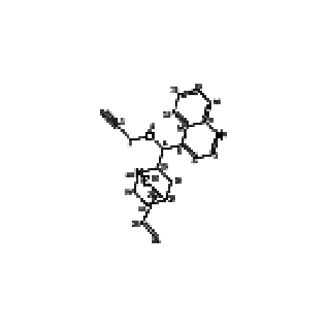 C#CCOC(c1ccnc2ccccc12)C1CC2CCN1CC2C=C